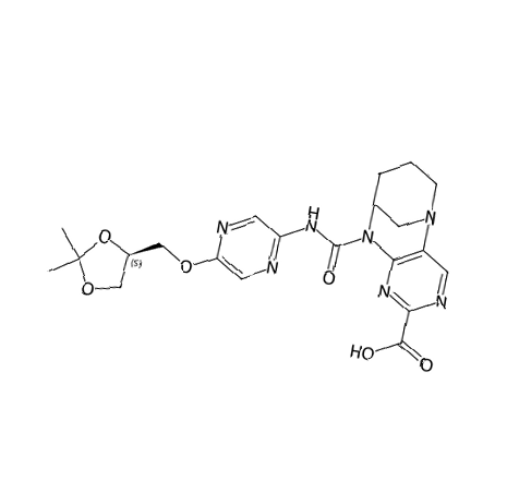 CC1(C)OC[C@H](COc2cnc(NC(=O)N3c4nc(C(=O)O)ncc4N4CCCC3C4)cn2)O1